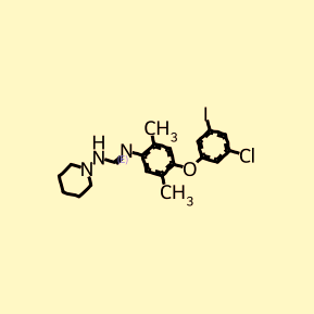 Cc1cc(Oc2cc(Cl)cc(I)c2)c(C)cc1/N=C/NN1CCCCC1